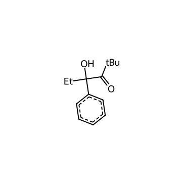 CCC(O)(C(=O)C(C)(C)C)c1ccccc1